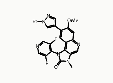 CCn1cc(-c2cc3c(cc2OC)ncc2c3n(-c3c(F)cncc3F)c(=O)n2C)cn1